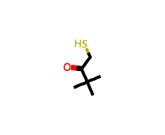 CC(C)(C)C(=O)CS